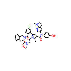 Cc1c(C(=O)N(c2ccc(O)cc2)c2cnc3c(c2)CCN3C)cc(-c2cc(Cl)ccc2C(=O)N2Cc3ccccc3C[C@H]2C)n1CCN1CCOCC1